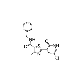 Cc1nc(-c2cc(Cl)c[nH]c2=O)sc1C(=O)NCc1ccccc1